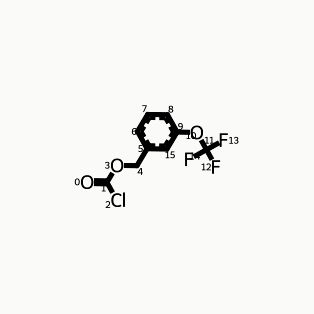 O=C(Cl)OCc1cccc(OC(F)(F)F)c1